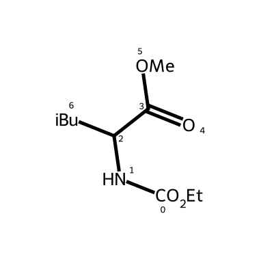 CCOC(=O)NC(C(=O)OC)C(C)CC